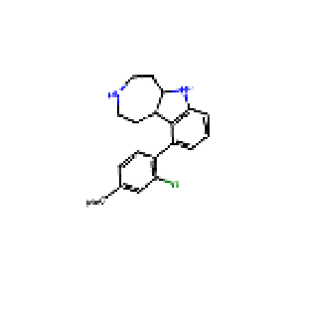 COc1ccc(-c2cccc3c2C2CCNCCC2N3)c(Cl)c1